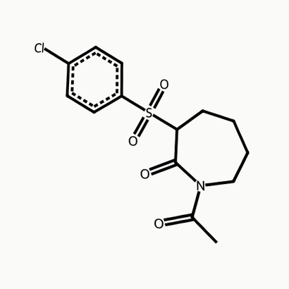 CC(=O)N1CCCCC(S(=O)(=O)c2ccc(Cl)cc2)C1=O